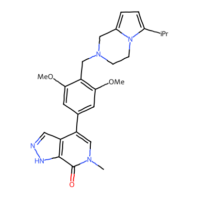 COc1cc(-c2cn(C)c(=O)c3[nH]ncc23)cc(OC)c1CN1CCn2c(ccc2C(C)C)C1